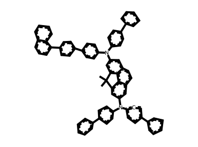 CC1(C)c2cc(N(c3ccc(-c4ccccc4)cc3)c3ccc(-c4ccccc4)cc3)cc3ccc4cc(N(c5ccc(-c6ccccc6)cc5)c5ccc(-c6ccc(-c7cccc8ccccc78)cc6)cc5)cc1c4c23